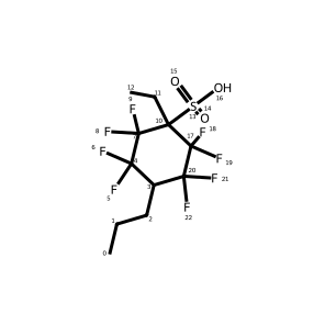 CCCC1C(F)(F)C(F)(F)C(CC)(S(=O)(=O)O)C(F)(F)C1(F)F